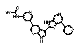 CCCC(=O)Nc1cncc(-c2cnc3[nH]cc(-c4nc5c(-c6cccnc6)cncc5[nH]4)c3c2)c1